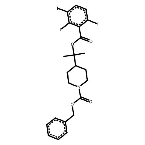 CC(C)(OC(=O)c1c(I)ccc(I)c1I)C1CCN(C(=O)OCc2ccccc2)CC1